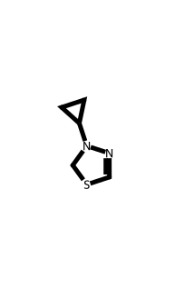 C1=NN(C2CC2)CS1